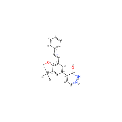 COc1c(/C=C/c2ccccc2)cc(-c2ccn[nH]c2=O)cc1C(C)(C)C